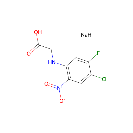 O=C(O)CNc1cc(F)c(Cl)cc1[N+](=O)[O-].[NaH]